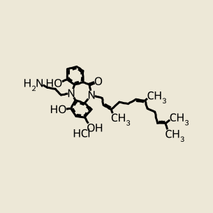 CC(C)=CCCC(C)=CCCC(C)=CCN1C(=O)c2cccc(O)c2N(CCCN)c2c(O)cc(O)cc21.Cl